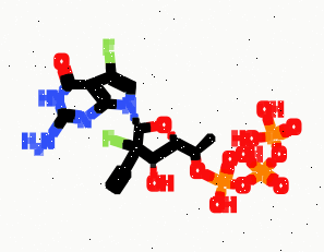 C#CC1(F)[C@@H](O)[C@@H]([C@@H](C)OP(=O)(O)OP(=O)(O)OP(=O)(O)O)O[C@H]1n1cc(F)c2c(=O)[nH]c(N)nc21